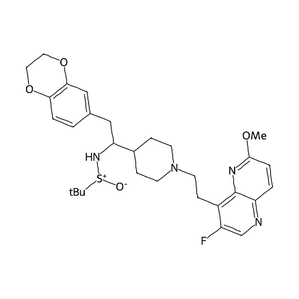 COc1ccc2ncc(F)c(CCN3CCC(C(Cc4ccc5c(c4)OCCO5)N[S+]([O-])C(C)(C)C)CC3)c2n1